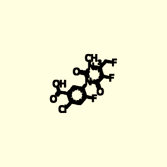 Cn1c(CF)c(F)c(=O)n(-c2cc(C(=O)O)c(Cl)cc2F)c1=O